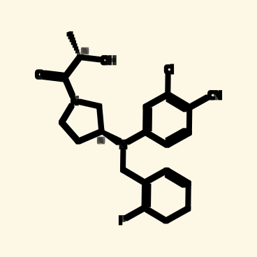 C[C@H](O)C(=O)N1CC[C@H](N(CC2=C(F)CCC=C2)c2ccc(C#N)c(Cl)c2)C1